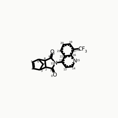 O=C1C2C3C=CC(C3)C2C(=O)N1c1ccnc2c(C(F)(F)F)cccc12